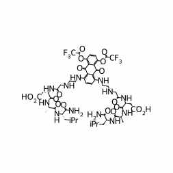 CC(C)C[C@H](NC(=O)[C@H](C)NC(=O)[C@H](CC(=O)O)NC(=O)CNCCNc1ccc(NCCNCC(=O)N[C@@H](CC(=O)O)C(=O)N[C@@H](C)C(=O)N[C@@H](CC(C)C)C(N)=O)c2c1C(=O)c1c(OC(=O)C(F)(F)F)ccc(OC(=O)C(F)(F)F)c1C2=O)C(N)=O